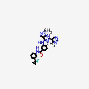 Cc1ccc(C(=O)Nc2cccc(C3(F)CC3)c2)cc1Nc1nc(-c2cncnc2)nc2c1cnn2C